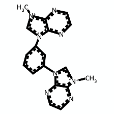 C[n+]1cn(-c2cccc(-n3c[n+](C)c4nccnc43)c2)c2nccnc21